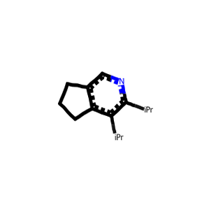 CC(C)c1ncc2c(c1C(C)C)CCC2